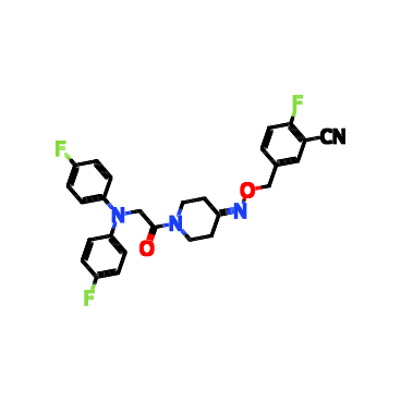 N#Cc1cc(CON=C2CCN(C(=O)CN(c3ccc(F)cc3)c3ccc(F)cc3)CC2)ccc1F